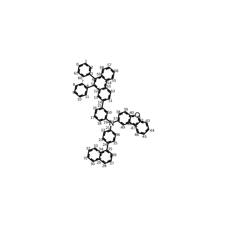 c1ccc(-c2c(-c3ccccc3)c3cc(-c4cccc(N(c5ccc(-c6cccc7ccccc67)cc5)c5ccc6oc7ccccc7c6c5)c4)ccc3c3ccccc23)cc1